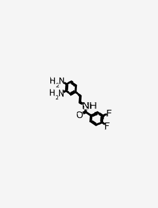 Nc1ccc(CCNC(=O)c2ccc(F)c(F)c2)cc1N